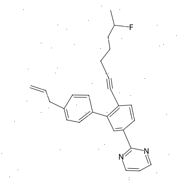 C=CCc1ccc(-c2cc(-c3ncccn3)ccc2C#CCCCC(C)F)cc1